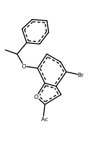 CC(=O)c1cc2c(Br)ccc(OC(C)c3ccccc3)c2o1